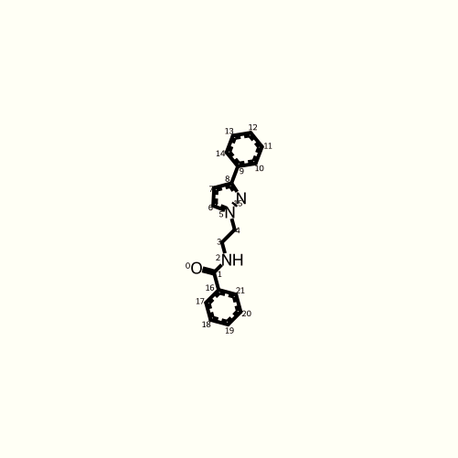 O=C(NCCn1ccc(-c2ccccc2)n1)c1ccccc1